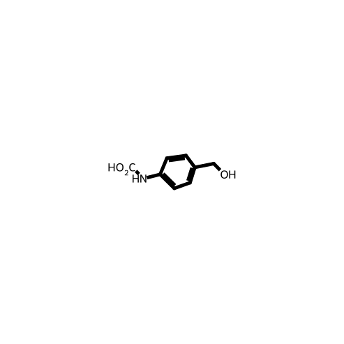 O=C(O)Nc1ccc(CO)cc1